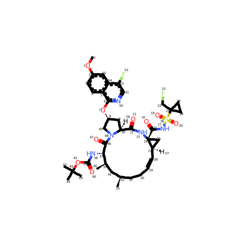 COc1ccc2c(O[C@@H]3C[C@H]4C(=O)N[C@]5(C(=O)NS(=O)(=O)C6(CF)CC6)C[C@H]5/C=C\CC[C@@H](C)C[C@@H](C)[C@H](NC(=O)OC(C)(C)C)C(=O)N4C3)ncc(F)c2c1